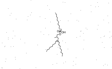 CCCCCCCCCOP(=O)(O)OCC(C)CN(CCCCCCCC)CCCCCCCC